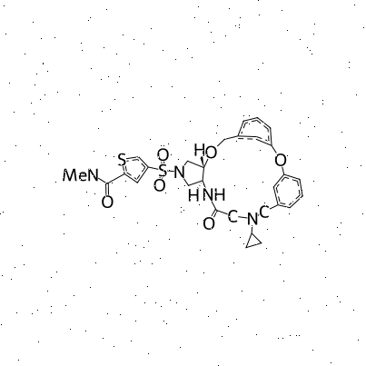 CNC(=O)c1cc(S(=O)(=O)N2C[C@@H]3NC(=O)CN(C4CC4)Cc4cccc(c4)Oc4cccc(c4)CO[C@H]3C2)cs1